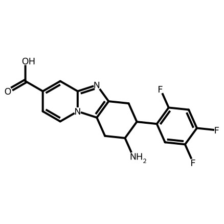 NC1Cc2c(nc3cc(C(=O)O)ccn23)CC1c1cc(F)c(F)cc1F